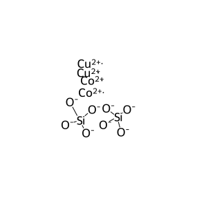 [Co+2].[Co+2].[Cu+2].[Cu+2].[O-][Si]([O-])([O-])[O-].[O-][Si]([O-])([O-])[O-]